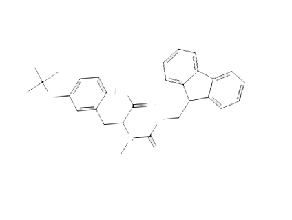 CN(C(=O)OCC1c2ccccc2-c2ccccc21)C(Cc1cccc(OC(C)(C)C)c1)C(=O)O